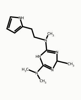 CC1N=C(N(C)C)NC(N(C)CCc2ccc[nH]2)=N1